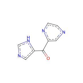 O=C(c1cnccn1)c1cnc[nH]1